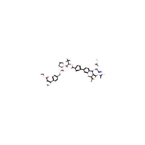 CCOC(=O)c1ncsc1-c1ccc(CNC(=O)[C@@H]2C[C@@H](O)CN2C(=O)C(NC(=O)c2ccc(-c3ccc(C4=N[C@@H](CC(=O)OC)c5nnc(C)n5-c5sc(C)c(C)c54)cc3)cc2)C(C)(C)C)cc1